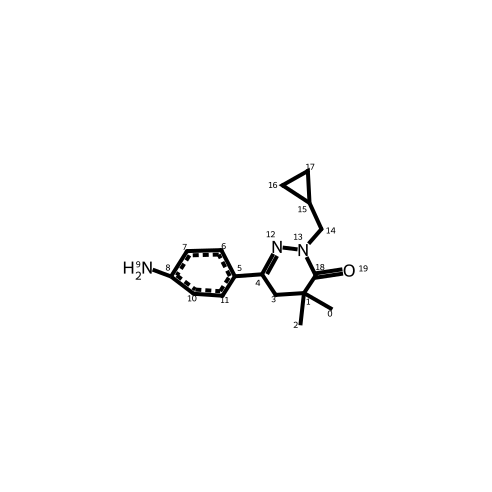 CC1(C)CC(c2ccc(N)cc2)=NN(CC2CC2)C1=O